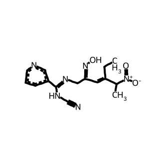 CCC(=CC(CN=C(NC#N)c1cccnc1)=NO)C(C)[N+](=O)[O-]